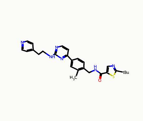 Cc1cc(-c2ccnc(NCCc3ccncc3)n2)ccc1CNC(=O)c1cnc(C(C)(C)C)s1